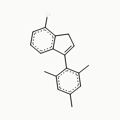 Cc1cc(C)c(C2=CCc3c(Br)cccc32)c(C)c1